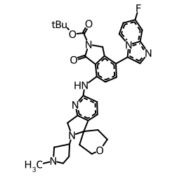 CN1CCC(N2Cc3nc(Nc4ccc(-c5cnc6cc(F)ccn56)c5c4C(=O)N(C(=O)OC(C)(C)C)C5)ccc3C23CCOCC3)C1